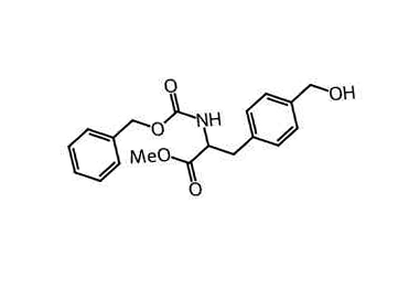 COC(=O)C(Cc1ccc(CO)cc1)NC(=O)OCc1ccccc1